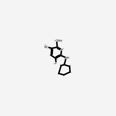 COc1nc(NC2CC[CH]CC2)c(F)cc1C#N